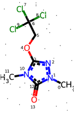 Cn1nc(OCC(Cl)(Cl)Cl)n(C)c1=O